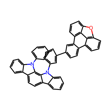 c1ccc(-n2c3ccccc3c3ccc4c5ccccc5n(-c5cccc(-c6ccc7c(c6)c6cccc8oc9cccc7c9c86)c5)c4c32)cc1